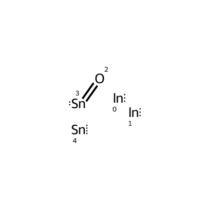 [In].[In].[O]=[Sn].[Sn]